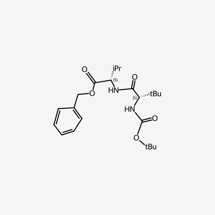 CC(C)[C@H](NC(=O)[C@@H](NC(=O)OC(C)(C)C)C(C)(C)C)C(=O)OCc1ccccc1